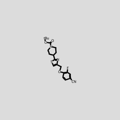 CC(C)(C)OC(=O)N1CCC(c2nc(COc3ccc(C#N)cc3F)cs2)CC1